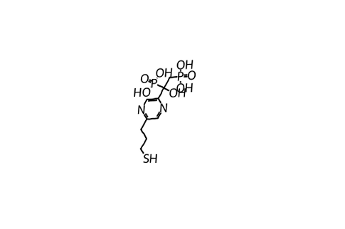 O=P(O)(O)CC(O)(c1cnc(CCCS)cn1)P(=O)(O)O